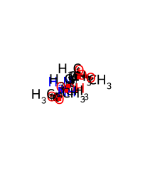 COCCCOc1cc(C[C@@H](C[C@H](N)C(O)CC(C(=O)NC[C@H]2COCC[C@H](OC)C2)C(C)C)C(C)C)ccc1OC